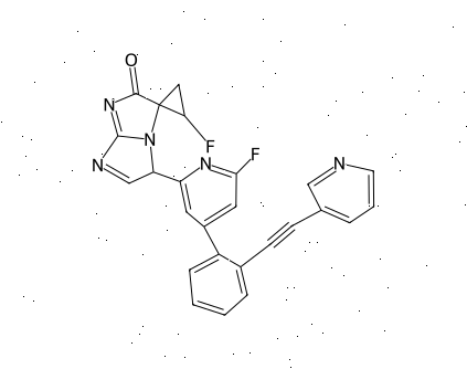 O=C1N=C2N=CC(c3cc(-c4ccccc4C#Cc4cccnc4)cc(F)n3)N2C12CC2F